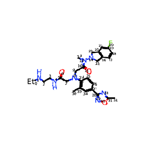 CCNCCNC(=O)CN(CC(=O)N(C)N1Cc2ccc(F)cc2C1)c1ccc(-c2noc(C)n2)cc1C